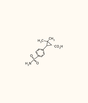 CC1(C)C(c2ccc(S(N)(=O)=O)cc2)[C@H]1C(=O)O